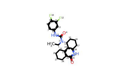 CCN(C(=O)Nc1ccc(F)c(F)c1)[C@@H]1CCCc2[nH]c(=O)c3c(c21)CCCC3